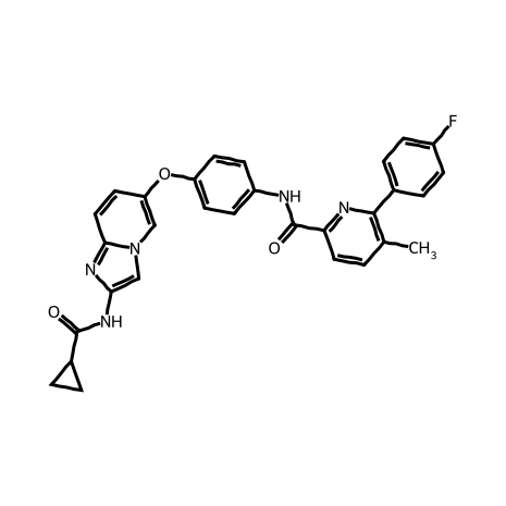 Cc1ccc(C(=O)Nc2ccc(Oc3ccc4nc(NC(=O)C5CC5)cn4c3)cc2)nc1-c1ccc(F)cc1